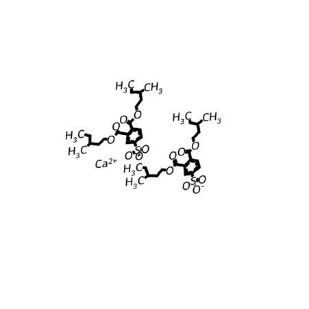 CCC(C)CCOC(=O)c1ccc(S(=O)(=O)[O-])cc1C(=O)OCCC(C)CC.CCC(C)CCOC(=O)c1ccc(S(=O)(=O)[O-])cc1C(=O)OCCC(C)CC.[Ca+2]